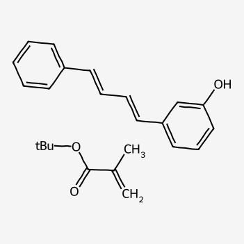 C=C(C)C(=O)OC(C)(C)C.Oc1cccc(C=CC=Cc2ccccc2)c1